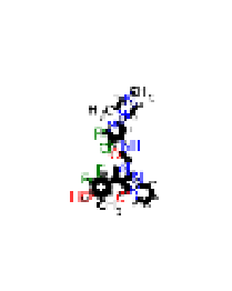 Cc1cc(-c2cn(CC(=O)Nc3cc(N4CCN(C)C[C@@H]4C)nc(F)c3Cl)c3nc4n(c(=O)c23)CCCC4)c(F)c(F)c1O